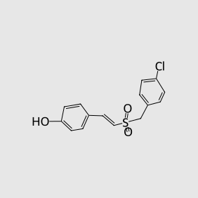 O=S(=O)(C=Cc1ccc(O)cc1)Cc1ccc(Cl)cc1